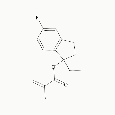 C=C(C)C(=O)OC1(CC)CCc2cc(F)ccc21